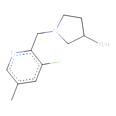 Cc1cnc(CN2CCC(C(C)(C)C)C2)c(F)c1